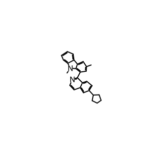 Cc1cc(-c2nccc3cc(C4CCCC4)ccc23)c2c(c1)c1ccccc1n2C